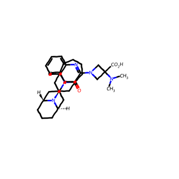 CN(C)C1(C(=O)O)CN(c2nc3ccccc3n(C3C[C@H]4CCC[C@H](C3)N4[C@@H]3CC4CCCC[C@@H](C4)C3)c2=O)C1